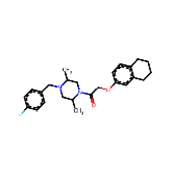 CC1CN(C(=O)COc2ccc3c(c2)CCCC3)C(C)CN1Cc1ccc(F)cc1